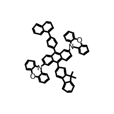 CC1(C)c2ccccc2-c2ccc(-c3c4ccc(N5c6ccccc6Oc6ccccc65)cc4c(-c4ccc(-c5cccc6ccccc56)cc4)c4ccc(N5c6ccccc6Oc6ccccc65)cc34)cc21